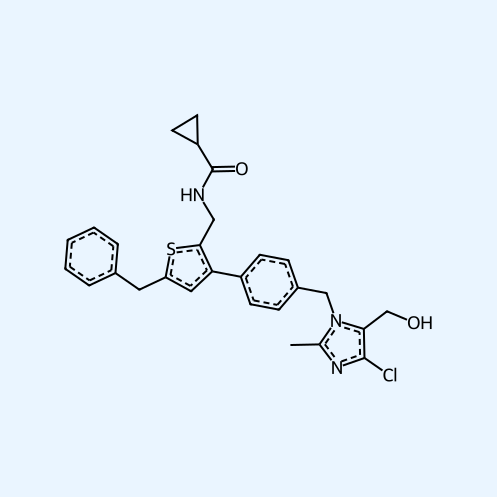 Cc1nc(Cl)c(CO)n1Cc1ccc(-c2cc(Cc3ccccc3)sc2CNC(=O)C2CC2)cc1